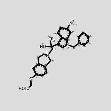 O=C(O)COc1ccc2c(c1)CCN(CC(O)(c1cn(Cc3ccccc3)c3cc([N+](=O)[O-])ccc13)C(F)(F)F)C2